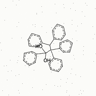 OC(O)(c1ccccc1)C(c1ccccc1)(c1ccccc1)C(c1ccccc1)c1ccccc1